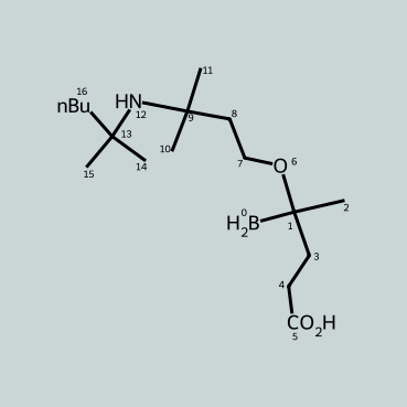 BC(C)(CCC(=O)O)OCCC(C)(C)NC(C)(C)CCCC